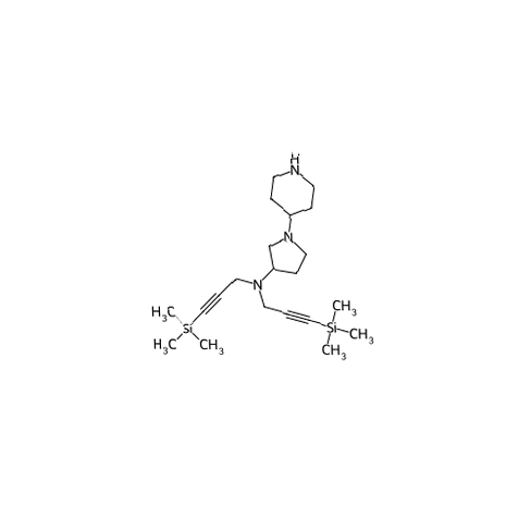 C[Si](C)(C)C#CCN(CC#C[Si](C)(C)C)C1CCN(C2CCNCC2)C1